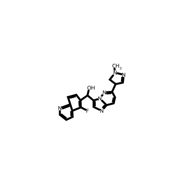 CN1CC(c2ccc3ncc(C(O)c4ccc5ncccc5c4F)n3n2)C=N1